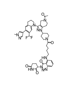 CC(=O)N1CCc2c(c(N3CCCc4cc(-c5cnn(C)c5)c(C(F)F)cc43)nn2C2CCN(C(=O)CCCCNc3cccc4nnn(C5CCC(=O)NC5=O)c(=O)c34)CC2)C1